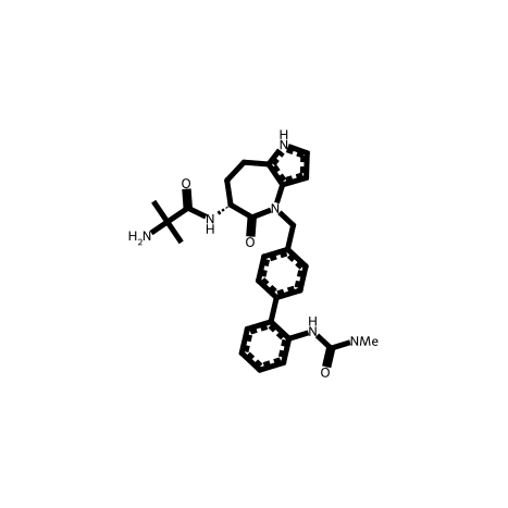 CNC(=O)Nc1ccccc1-c1ccc(CN2C(=O)[C@H](NC(=O)C(C)(C)N)CCc3[nH]ccc32)cc1